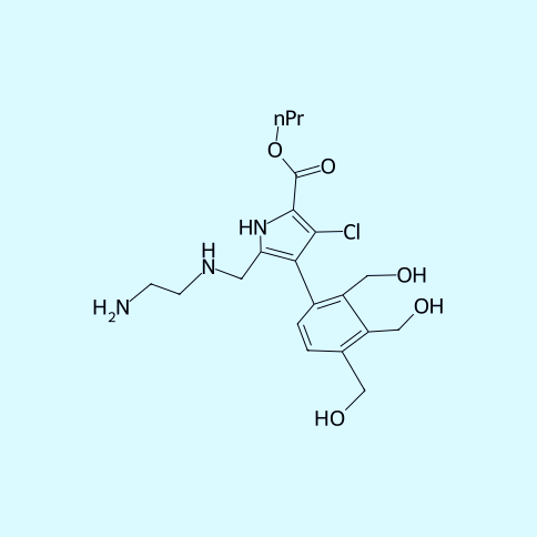 CCCOC(=O)c1[nH]c(CNCCN)c(-c2ccc(CO)c(CO)c2CO)c1Cl